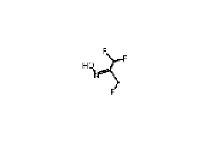 ON=C(CF)C(F)F